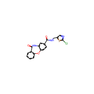 O=C(NCc1cnc(Cl)s1)c1ccc2c(c1)NC(=O)c1ccccc1O2